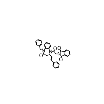 O=C1c2ccccc2C(=O)N1CC(=O)N1c2ccccc2N(Cc2ccccc2)C(=O)CC1/C=C/c1ccccc1